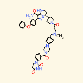 CN(CCC(=O)N1CCC([C@@H]2CCNc3c(C(N)=O)c(-c4ccc(Oc5ccccc5)cc4)nn32)CC1)Cc1ccc(N2CCN(C(=O)c3cccc(N4CCC(=O)NC4=O)c3)CC2)cc1